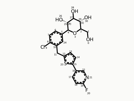 OCC1OC(c2ccc(Cl)c(Cc3ccc(-c4ccc(F)nc4)s3)c2)[C@H](O)C(O)[C@@H]1O